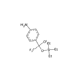 CC[Si](CC)(CC)OC(c1ccc(N)cc1)(C(F)(F)F)C(F)(F)F